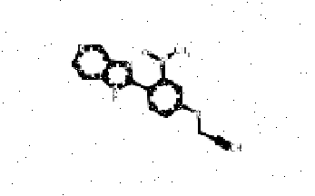 C#CCOc1ccc(-c2nc3cnccc3[nH]2)c([S+](C)[O-])c1